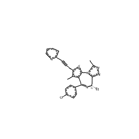 CC[C@@H]1N=C(c2ccc(Cl)cc2)c2c(sc(C#Cc3ccccn3)c2C)-n2c(C)nnc21